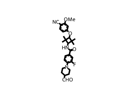 COc1cc(OC2C(C)(C)C(NC(=O)c3ccc(N4CCC(C=O)CC4)c(F)c3)C2(C)C)ccc1C#N